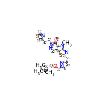 Cn1c2nc(Cc3ccn(COCC[Si](C)(C)C)n3)sc2c2cnn(CCc3cscn3)c(=O)c21